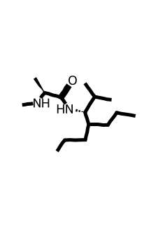 CCCC(CCC)[C@H](NC(=O)[C@H](C)NC)C(C)C